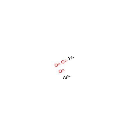 [Al+3].[O-2].[O-2].[O-2].[Y+3]